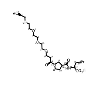 C#CCOCCOCCOCCOCCC(=O)N1CCC(C(=O)NC(CC(C)C)C(=O)O)C1